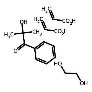 C=CC(=O)O.C=CC(=O)O.CC(C)(O)C(=O)c1ccccc1.OCCO